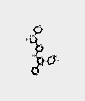 C[C@H]1CC[C@@H](c2nc(Nc3ccnc(/C(C=N)=C/NC4CCOCC4)c3)cc(-c3cccnc3)n2)CN1